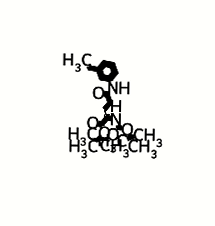 CCc1cccc(NC(=O)CC[C@H](NC(=O)OC(C)(C)C)C(=O)OC(C)(C)C)c1